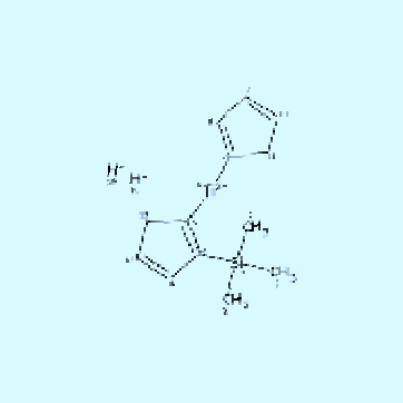 C[Si](C)(C)C1=[C]([Ti+2][C]2=CC=CC2)CC=C1.[H-].[H-]